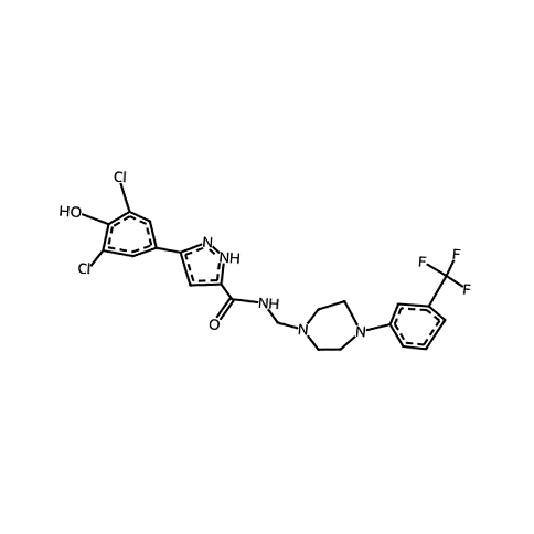 O=C(NCN1CCN(c2cccc(C(F)(F)F)c2)CC1)c1cc(-c2cc(Cl)c(O)c(Cl)c2)n[nH]1